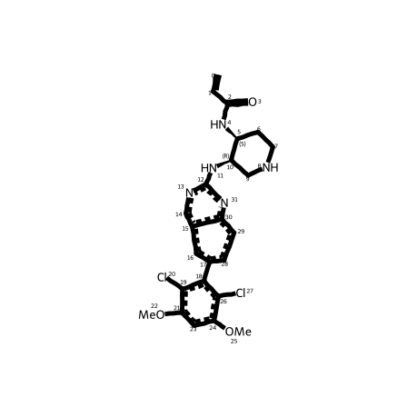 C=CC(=O)N[C@H]1CCNC[C@H]1Nc1ncc2cc(-c3c(Cl)c(OC)cc(OC)c3Cl)ccc2n1